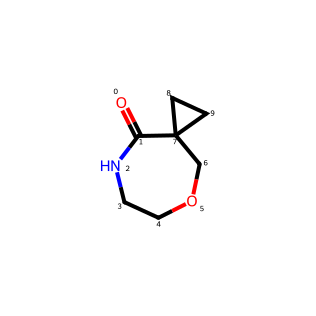 O=C1NCCOCC12CC2